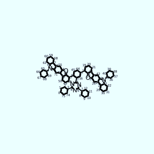 c1ccc(-c2nc(-c3ccccc3)nc(-c3cc(-c4cccc5c4oc4cc6c7ccccc7n(-c7ccccc7)c6cc45)ccc3-c3cccc4c3oc3cc5c6ccccc6n(-c6ccccc6)c5cc34)n2)cc1